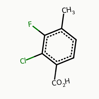 Cc1ccc(C(=O)O)c(Cl)c1F